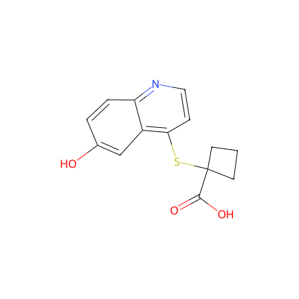 O=C(O)C1(Sc2ccnc3ccc(O)cc23)CCC1